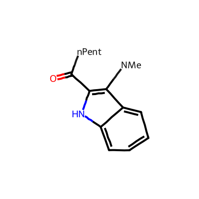 CCCCCC(=O)c1[nH]c2ccccc2c1NC